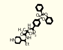 CCC(NC(=O)C(C)(C)NC(=O)c1ccc(S(=O)(=O)N(Oc2ccccc2)c2ccccc2)cc1)C1CCNCC1